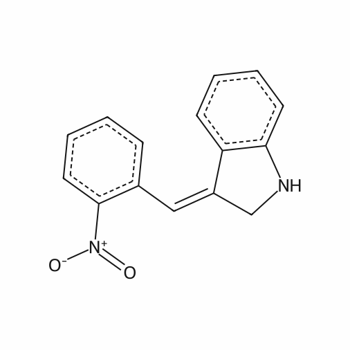 O=[N+]([O-])c1ccccc1/C=C1/CNc2ccccc21